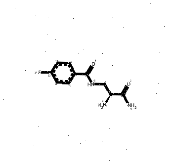 NC(=O)[C@@H](N)CNC(=O)c1ccc(F)cc1